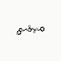 O=C(N[C@H]1CCN(CCn2ccc3cnccc32)C1=O)OCc1ccccc1